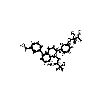 O=Cc1cccc(-c2cccc3c2CCC(c2cccc(OC(F)(F)C(F)F)c2)N3CC(O)C(F)(F)F)c1